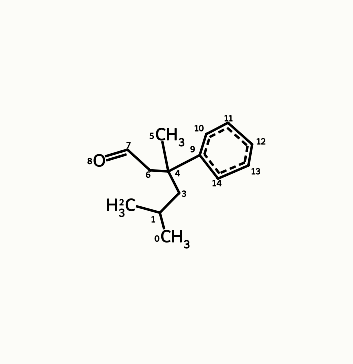 CC(C)CC(C)(CC=O)c1ccccc1